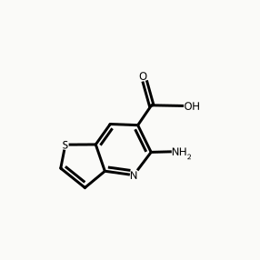 Nc1nc2ccsc2cc1C(=O)O